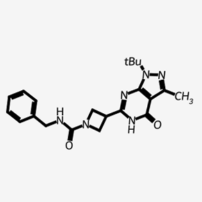 Cc1nn(C(C)(C)C)c2nc(C3CN(C(=O)NCc4ccccc4)C3)[nH]c(=O)c12